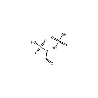 O=NOS(=O)(=O)O.O=S(=O)(O)O